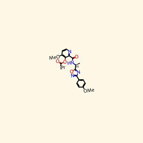 COc1ccc(-c2noc([C@H](C)NC(=O)c3nccc(OC)c3OC(=O)C(C)C)n2)cc1